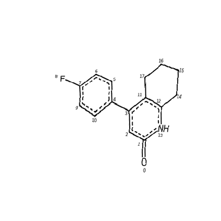 O=c1cc(-c2ccc(F)cc2)c2c([nH]1)CCCC2